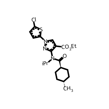 CCOC(=O)c1cn(-c2ccc(Cl)s2)nc1N(C(=O)[C@H]1CC[C@H](C)CC1)C(C)C